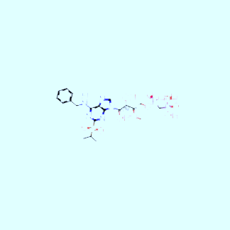 CO[C@H](COP(=O)(O)CP(=O)(O)O)[C@@H](O)[C@@H](O)n1cnc2c(NCc3ccccc3)nc(S(=O)(=O)C(C)C)nc21